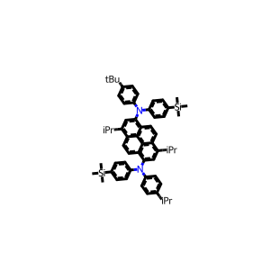 CC(C)c1ccc(N(c2ccc([Si](C)(C)C)cc2)c2cc(C(C)C)c3ccc4c(N(c5ccc(C(C)(C)C)cc5)c5ccc([Si](C)(C)C)cc5)cc(C(C)C)c5ccc2c3c54)cc1